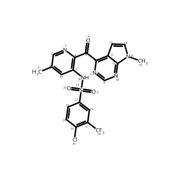 Cc1cnc(C(=O)c2ncnc3c2ccn3C)c(NS(=O)(=O)c2ccc(Cl)c(C(F)(F)F)c2)c1